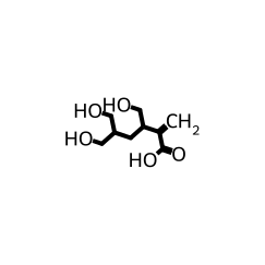 C=C(C(=O)O)C(CO)CC(CO)CO